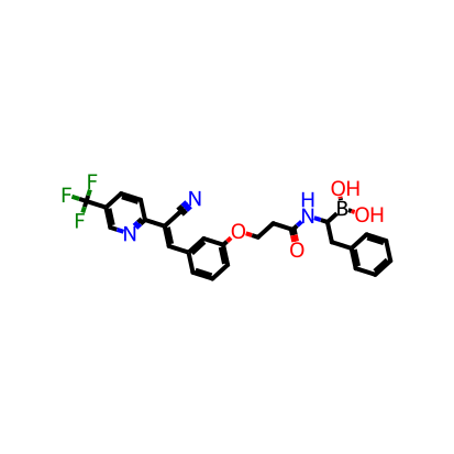 N#CC(=Cc1cccc(OCCC(=O)NC(Cc2ccccc2)B(O)O)c1)c1ccc(C(F)(F)F)cn1